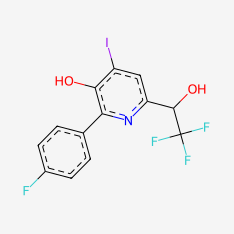 Oc1c(I)cc(C(O)C(F)(F)F)nc1-c1ccc(F)cc1